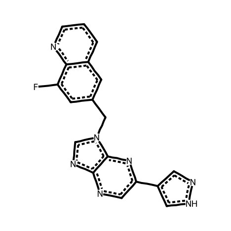 Fc1cc(Cn2cnc3ncc(-c4cn[nH]c4)nc32)cc2cccnc12